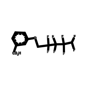 O=C(O)c1cccc(OCC(F)(F)C(F)(F)C(F)(F)C(F)F)c1